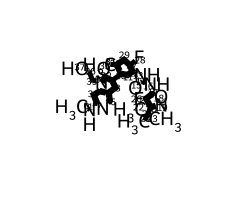 CNc1cc2c(cn1)cc(-c1cc(NC(=O)Nc3onc(C(C)(C)C)c3F)c(F)cc1C)c(=O)n2CCO